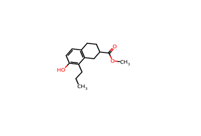 CCCc1c(O)ccc2c1CC(C(=O)OC)CC2